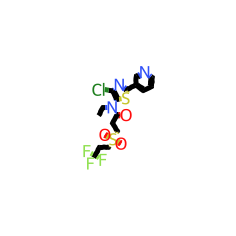 CCN(C(=O)CCS(=O)(=O)CCC(F)(F)F)c1sc(-c2cccnc2)nc1Cl